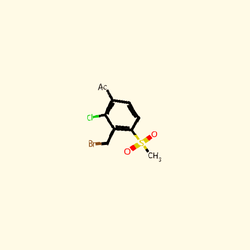 CC(=O)c1ccc(S(C)(=O)=O)c(CBr)c1Cl